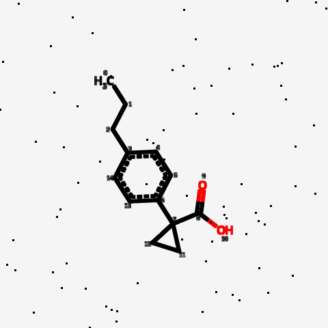 CCCc1ccc(C2(C(=O)O)CC2)cc1